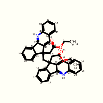 CCOC(=O)CC1(CC2(CC(=O)OCC)c3ccccc3-c3nc4ccccc4cc32)c2ccccc2-c2nc3ccccc3cc21